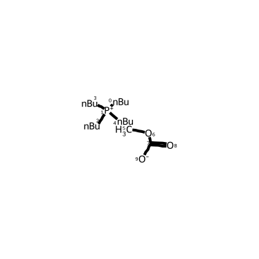 CCCC[P+](CCCC)(CCCC)CCCC.COC(=O)[O-]